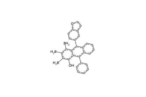 Bc1c(B)c(O)c2c(-c3ccccc3)c3ccccc3c(-c3ccc4occc4c3)c2c1B